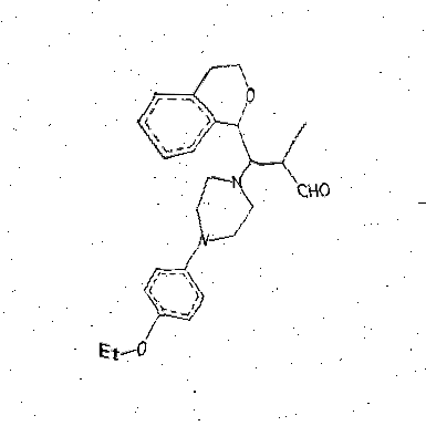 CCOc1ccc(N2CCN(C(C(C)C=O)C3OCCc4ccccc43)CC2)cc1